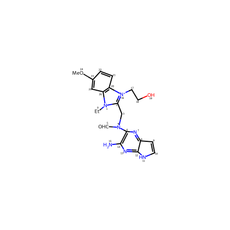 CCn1c(CN(C=O)c2nc3cc[nH]c3nc2N)[n+](CCO)c2ccc(OC)cc21